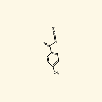 Cc1ccc([PH](=O)N=[N+]=[N-])cc1